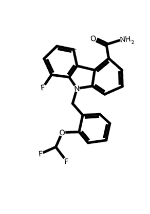 NC(=O)c1cccc2c1c1[c]ccc(F)c1n2Cc1ccccc1OC(F)F